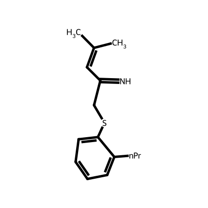 CCCc1ccccc1SCC(=N)C=C(C)C